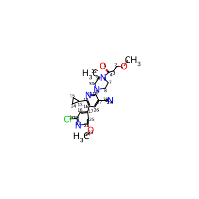 COCCC(=O)N1CCN(c2nc(C3CC3)c(-c3cc(Cl)nc(OC)c3)cc2C#N)CC1C